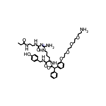 CCC(=O)NCCNC(=O)/N=C(/N)NCCC[C@@H](NC(=O)C(c1ccccc1)c1cccc(OCCOCCOCCOCCN)c1)C(=O)NCc1ccc(O)cc1